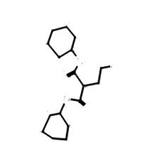 O=C(NC1CCCCC1)C(CCCl)C(=O)NC1CCCCC1